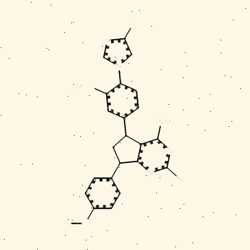 CNc1nc(N)nc2c1C(c1ccc(-n3cnc(Cl)c3)c(OC)c1)CC2c1ccc(OC(F)(F)F)cc1